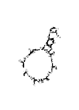 Cc1nccn1Cc1ccc(CC2OC(=O)CNC(=O)COC(=O)CNC(=O)COC(=O)CNC(=O)COC(=O)CNC2=O)cc1